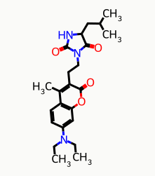 CCN(CC)c1ccc2c(C)c(CCN3C(=O)NC(CC(C)C)C3=O)c(=O)oc2c1